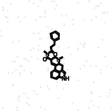 CN(C(=O)CCc1ccccc1)C(=O)C1C=C2c3cccc4[nH]cc(c34)CC2N(C)C1